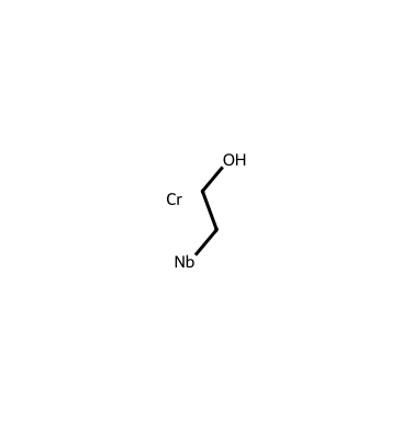 OC[CH2][Nb].[Cr]